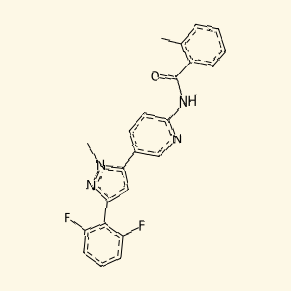 Cc1ccccc1C(=O)Nc1ccc(-c2cc(-c3c(F)cccc3F)nn2C)cn1